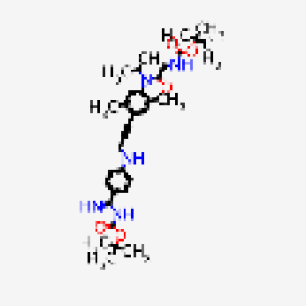 Cc1cc(N(C(=O)CNC(=O)OC(C)(C)C)C(C)C)c(C)cc1C#CCNc1ccc(C(=N)NC(=O)OC(C)(C)C)cc1